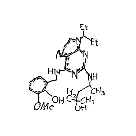 CCC(CC)n1cnc2c(NCc3cccc(OC)c3O)nc(NC(C)CC(C)(C)O)nc21